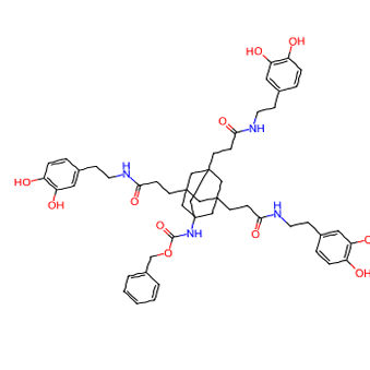 O=C(CCC12CC3(CCC(=O)NCCc4ccc(O)c(O)c4)CC(CCC(=O)NCCc4ccc(O)c(O)c4)(C1)CC(NC(=O)OCc1ccccc1)(C2)C3)NCCc1ccc(O)c(O)c1